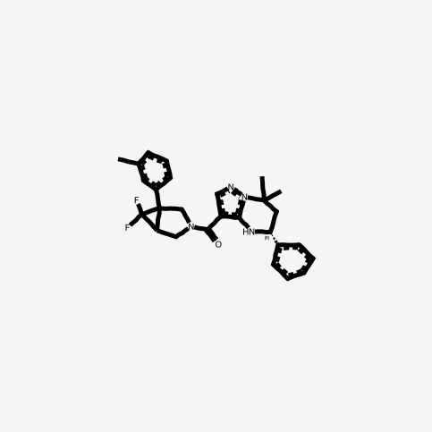 Cc1cccc(C23CN(C(=O)c4cnn5c4N[C@@H](c4ccccc4)CC5(C)C)CC2C3(F)F)c1